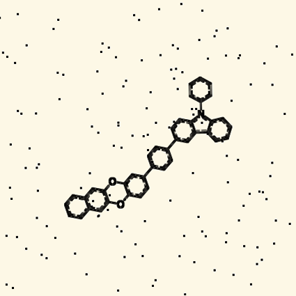 c1ccc(-n2c3ccccc3c3cc(-c4ccc(-c5ccc6c(c5)Oc5cc7ccccc7cc5O6)cc4)ccc32)cc1